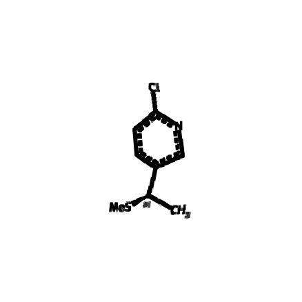 CS[C@H](C)c1ccc(Cl)nc1